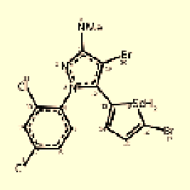 CNc1nn(-c2ccc(Cl)cc2Cl)c(C2=CC=C(Br)[SeH2]2)c1Br